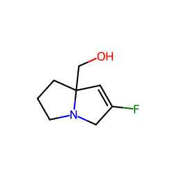 OCC12C=C(F)CN1CCC2